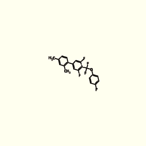 Cc1ccc(-c2cc(F)c(C(F)(F)Oc3ccc(F)cc3)c(F)c2)c(C)c1